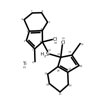 CC1=CC2=C(CCCC2)C1(Cl)[SiH2]C1(Cl)C(C)=CC2=C1CCCC2.[Ti]